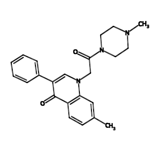 Cc1ccc2c(=O)c(-c3ccccc3)cn(CC(=O)N3CCN(C)CC3)c2c1